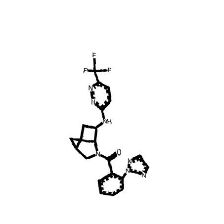 O=C(c1ccccc1-n1nccn1)N1CC2CC23CC(Nc2ccc(C(F)(F)F)nn2)C13